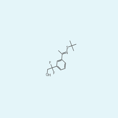 C/C(=N\SC(C)(C)C)c1cccc(C(F)(F)CO)c1